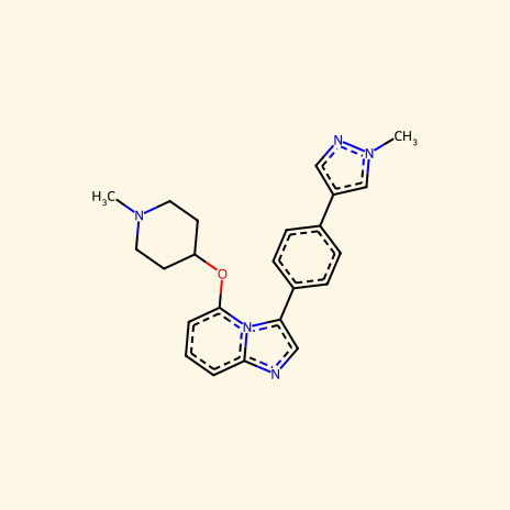 CN1CCC(Oc2cccc3ncc(-c4ccc(-c5cnn(C)c5)cc4)n23)CC1